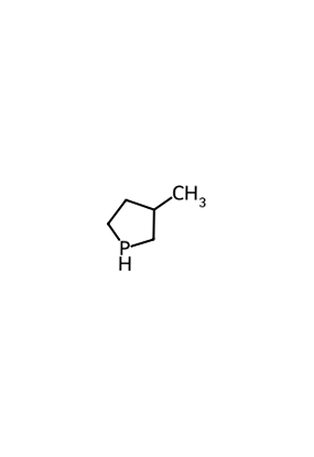 CC1CCPC1